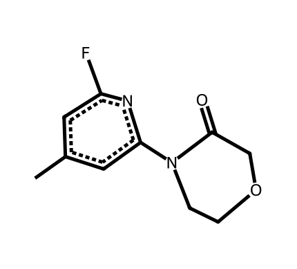 Cc1cc(F)nc(N2CCOCC2=O)c1